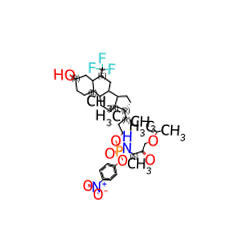 CC(C)OCC(=O)[C@H](C)NP(=O)(OCC[C@@H](C)[C@H]1CCC2C3C[C@H](C(F)(F)F)C4C[C@H](O)CC[C@]4(C)C3CC[C@@]21C)Oc1ccc([N+](=O)[O-])cc1